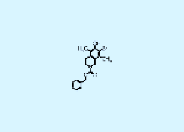 Cc1c(O)c(Br)c(C)c2c1CCN(C(=O)OCc1ccccc1)C2